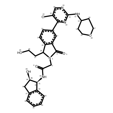 O=C(CN1C(=O)c2cc(-c3nc(NC4CCOCC4)ncc3Cl)ccc2C1CCO)N[C@H]1c2ccccc2C[C@H]1O